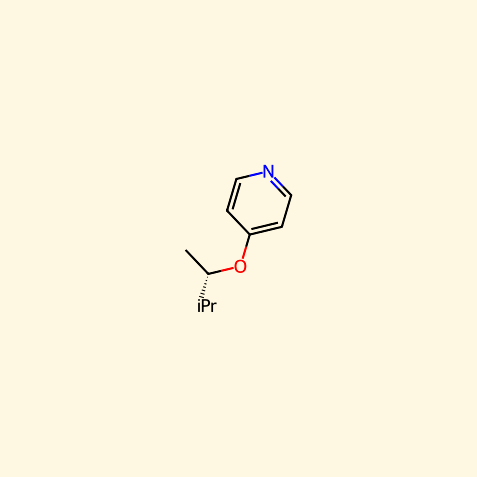 CC(C)[C@H](C)Oc1ccncc1